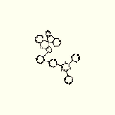 C1=CC2=C(CC1)C1(C3=C(Oc4ccccc41)C(c1ccccc1-c1ccc(-c4nc(-c5ccccc5)nc(-c5ccccc5)n4)cc1)CC=C3)c1ccccc12